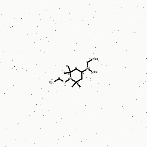 CCCCN(CC(C)(C)C)C1CC(C)(C)N(OCC(C)(C)C)C(C)(C)C1